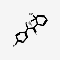 CC(C)c1ccc(C(O)C(=O)C2C=CC=CC2(C)O)cc1